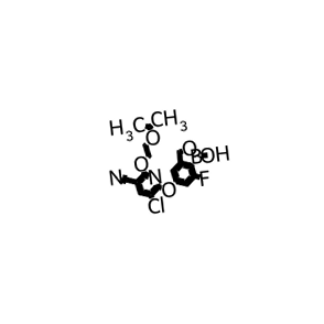 CC(C)OCCOc1nc(Oc2cc(F)c3c(c2)COB3O)c(Cl)cc1C#N